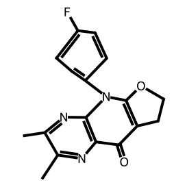 Cc1nc2c(=O)c3c(n(-c4ccc(F)cc4)c2nc1C)OCC3